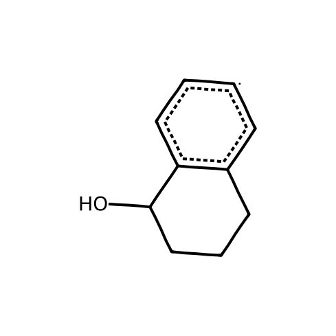 OC1CCCc2c[c]ccc21